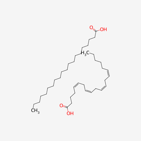 CCCCC/C=C\C/C=C\C/C=C\C/C=C\CCCC(=O)O.CCCCCCCCCCCCCCCCCCCC(=O)O